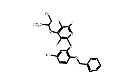 CCOC(=O)C(CC(C)C)Oc1c(F)c(F)nc(Oc2cc(C#N)ccc2OCc2ccccc2)c1F